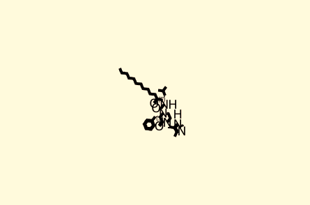 CCCCCCCCCCCC(=O)[C@H](CC(C)C)NC(=O)N1CCN(Cc2[nH]cnc2C)C(=O)[C@@H]1Cc1ccccc1